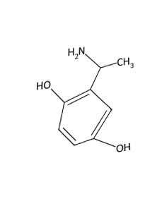 CC(N)c1cc(O)ccc1O